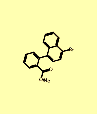 COC(=O)c1ccccc1-c1ccc(Br)c2ccccc12